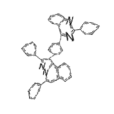 c1ccc(-c2nc(-c3ccc(-c4c(-c5ccccc5)nn5c(-c6ccccc6)cc6ccccc6c45)cc3)c3ccccc3n2)cc1